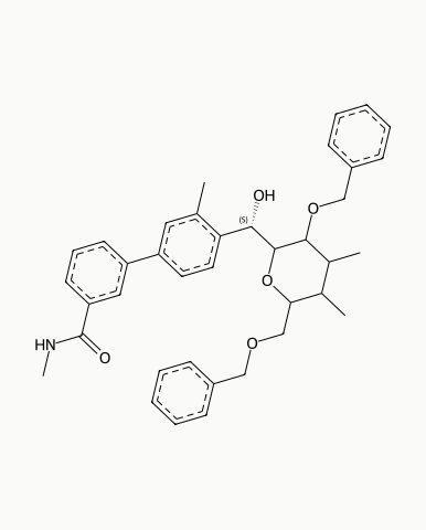 CNC(=O)c1cccc(-c2ccc([C@H](O)C3OC(COCc4ccccc4)C(C)C(C)C3OCc3ccccc3)c(C)c2)c1